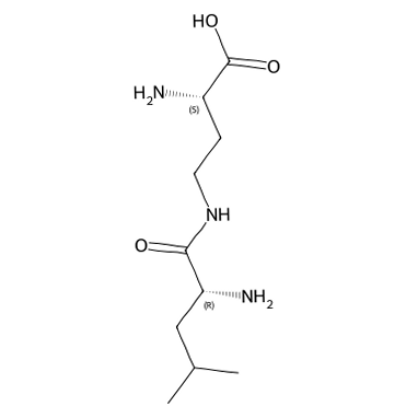 CC(C)C[C@@H](N)C(=O)NCC[C@H](N)C(=O)O